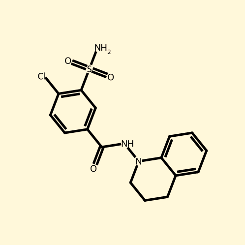 NS(=O)(=O)c1cc(C(=O)NN2CCCc3ccccc32)ccc1Cl